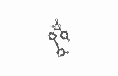 O=C1N[C@@H](c2cncc(C#Cc3cncc(F)c3)c2)[C@H](c2ccc(F)cc2)O1